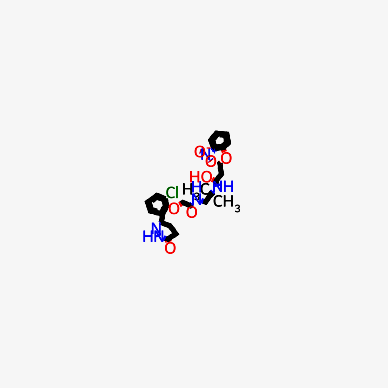 CC(C)(CNC(=O)COc1c(Cl)cccc1C1=NNC(=O)CC1)NC(O)CCOc1ccccc1[N+](=O)[O-]